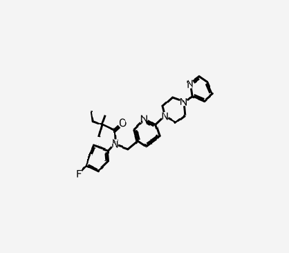 CCC(C)(C)C(=O)N(Cc1ccc(N2CCN(c3ccccn3)CC2)nc1)c1ccc(F)cc1